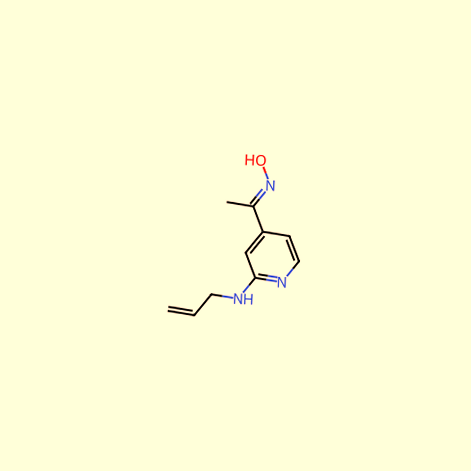 C=CCNc1cc(/C(C)=N/O)ccn1